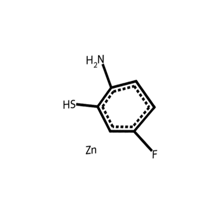 Nc1ccc(F)cc1S.[Zn]